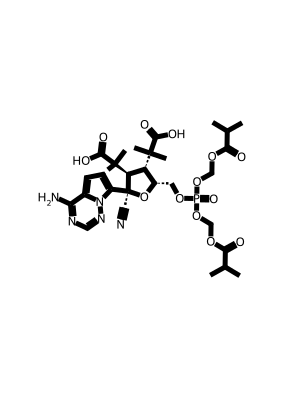 CC(C)C(=O)OCOP(=O)(OCOC(=O)C(C)C)OC[C@@H]1O[C@@](C#N)(c2ccc3c(N)ncnn23)[C@@H](C(C)(C)C(=O)O)[C@@H]1C(C)(C)C(=O)O